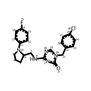 O=c1nc(NCC2CCCN2c2ccc(F)cc2)ncn1Cc1ccc(Cl)cc1